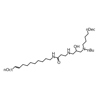 CCCCCCCC/C=C/CCCCCCCCNC(=O)CCNCC(O)CN(CCCC)CCCCCCCCCCCCCC